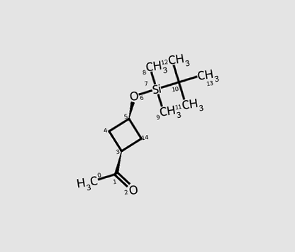 CC(=O)[C@H]1C[C@@H](O[Si](C)(C)C(C)(C)C)C1